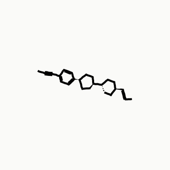 CC#Cc1ccc([C@H]2CC[C@H]([C@H]3CC[C@H](C=CC)CC3)CC2)cc1